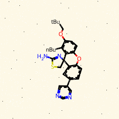 CCCCc1c(OCC(C)(C)C)ccc2c1C1(CSC(N)=N1)c1cc(-c3cncnc3)ccc1O2